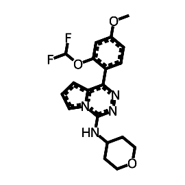 COc1ccc(-c2nnc(NC3CCOCC3)n3cccc23)c(OC(F)F)c1